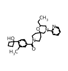 CCC1CN(c2ccccn2)CC2(CCN(C(=O)c3ccc(C4(O)CCC4)c(C)c3)CC2)O1